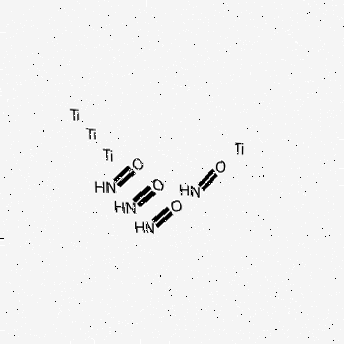 N=O.N=O.N=O.N=O.[Ti].[Ti].[Ti].[Ti]